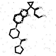 C=C(/C=C\C)C1(c2nc3ccc(N4CCC[C@@H](C(=O)N5CCCC5)C4)nc3[nH]2)CC1